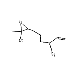 C=CC(CC)CCC1OC1(C)CC